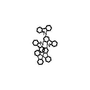 c1ccc2c(c1)-c1ccccc1C21c2ccccc2-c2cc(-n3c4ccccc4c4cc(-n5c6ccccc6c6ccccc65)cc(-n5c6ccccc6c6ccccc65)c43)ccc21